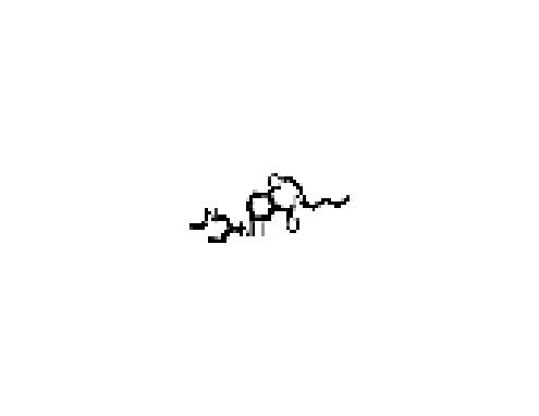 C/C=C(\C=N/CC)Nc1ccc2c(c1)C(=O)N(CCCC)CCO2